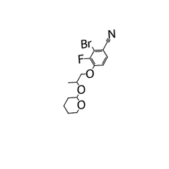 CC(COc1ccc(C#N)c(Br)c1F)OC1CCCCO1